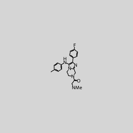 CNCC(=O)N1CCn2c(nc(-c3ccc(F)cc3)c2Nc2ccc(C)cc2)C1